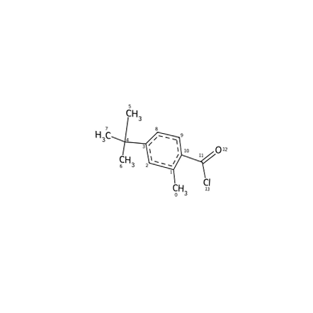 Cc1cc(C(C)(C)C)ccc1C(=O)Cl